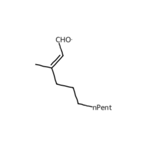 CCCCCCCCC(C)=C[C]=O